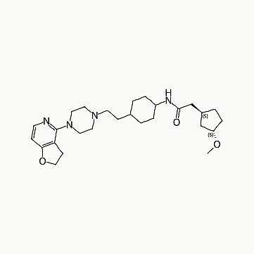 CO[C@H]1CC[C@H](CC(=O)NC2CCC(CCN3CCN(c4nccc5c4CCO5)CC3)CC2)C1